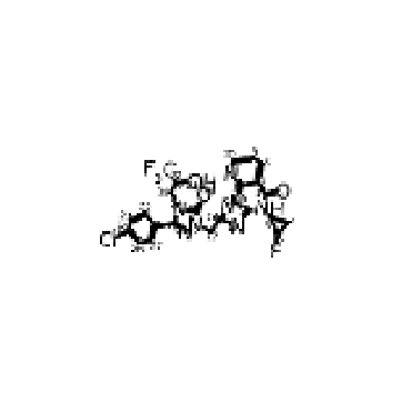 O=C(NC1CC1F)c1cccnc1-n1cnc(Cn2nc(-c3ccc(Cl)cc3)n(CC(O)C(F)(F)F)c2=O)n1